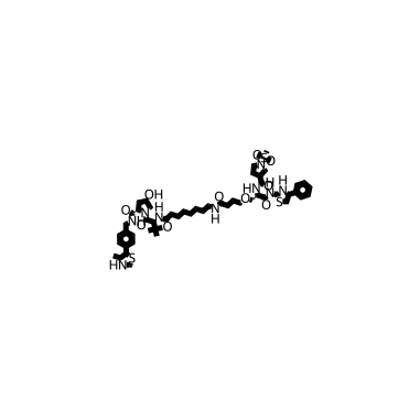 CC1NCSC1c1ccc(CNC(=O)[C@@H]2C[C@@H](O)CN2C(=O)[C@@H](NC(=O)CCCCCCCNC(=O)CCCOC[C@H](NC(=O)C2CCN(S(C)(=O)=O)C2)C(=O)NC2NC(c3ccccc3)CS2)C(C)(C)C)cc1